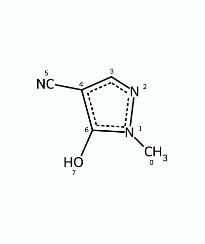 Cn1ncc(C#N)c1O